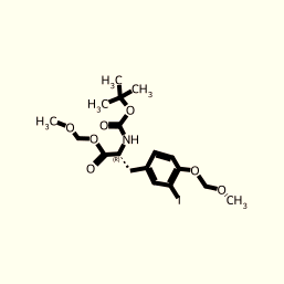 COCOC(=O)[C@@H](Cc1ccc(OCOC)c(I)c1)NC(=O)OC(C)(C)C